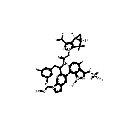 CCCOCn1ccc2cc(-c3ccc(Cl)c4c(NS(C)(=O)=O)nn(C)c34)c(C(Cc3cc(F)cc(F)c3)NC(=O)Cn3nc(C(F)F)c4c3C(F)(F)[C@@H]3C[C@H]43)nc21